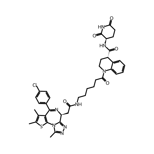 Cc1sc2c(c1C)C(c1ccc(Cl)cc1)=N[C@@H](CC(=O)NCCCCCC(=O)N1CC[C@H](C(=O)N[C@@H]3CCC(=O)NC3=O)c3ccccc31)c1nnc(C)n1-2